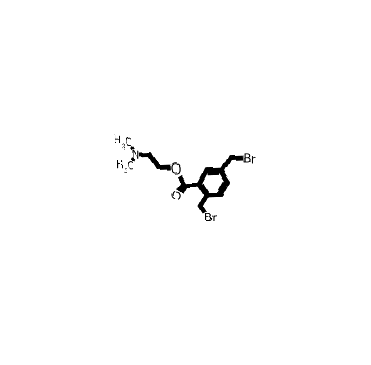 CN(C)CCOC(=O)c1cc(CBr)ccc1CBr